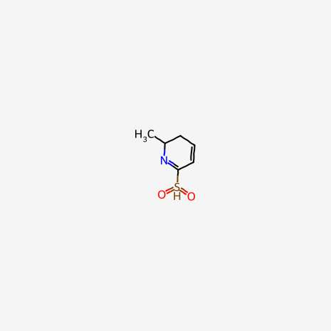 CC1CC=CC([SH](=O)=O)=N1